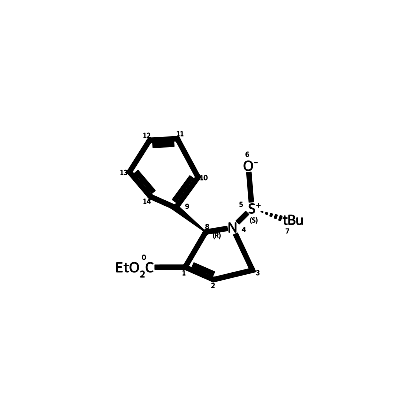 CCOC(=O)C1=CCN([S@+]([O-])C(C)(C)C)[C@@H]1c1ccccc1